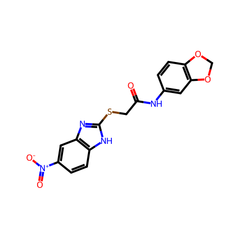 O=C(CSc1nc2cc([N+](=O)[O-])ccc2[nH]1)Nc1ccc2c(c1)OCO2